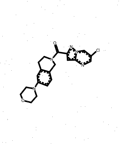 O=C(c1cc2ncc(Cl)cn2n1)N1CCc2cc(N3CCOCC3)ccc2C1